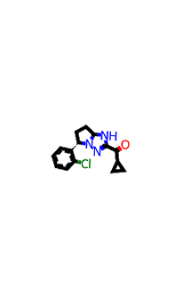 O=C(C1=NN2C(CC[C@H]2c2ccccc2Cl)N1)C1CC1